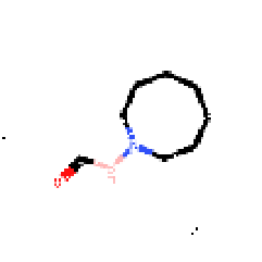 O=CBN1CCCCCCC1